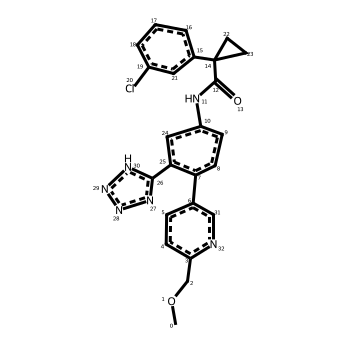 COCc1ccc(-c2ccc(NC(=O)C3(c4cccc(Cl)c4)CC3)cc2-c2nnn[nH]2)cn1